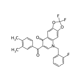 Cc1ccc(C(=O)c2cn(Cc3ccccc3F)c3cc4c(cc3c2=O)OC(F)(F)O4)cc1C